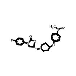 CC(=O)N(C)c1ccc(OC2CCN(C[C@@H]3CN(c4ccc(F)cc4)C(=O)O3)CC2)cc1